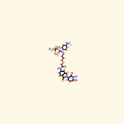 CC(C)(C)OC(=O)N(CCCCOCC(=O)Nc1ccc2c(c1)CN(C1CCC(=O)NC1=O)C2=O)[C@H]1CC[C@@H](N)CC1